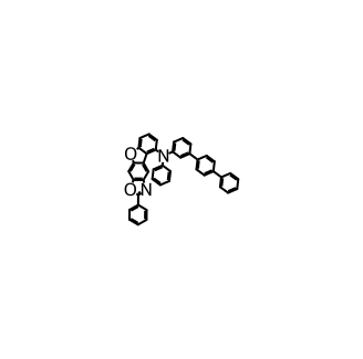 c1ccc(-c2ccc(-c3cccc(N(c4ccccc4)c4cccc5oc6cc7oc(-c8ccccc8)nc7cc6c45)c3)cc2)cc1